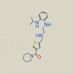 CC(C)Nc1ccccc1NCCNCc1cc(C(=O)N2CCCCC2)cs1